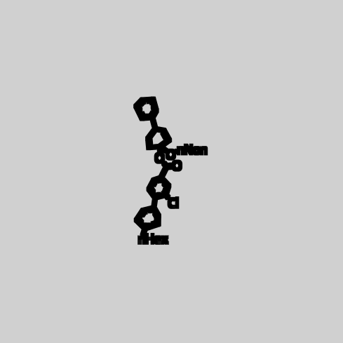 CCCCCCCCCOC1(OC(=O)c2ccc(-c3ccc(CCCCCC)cc3)c(Cl)c2)C=CC(c2ccccc2)C=C1